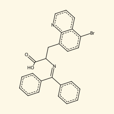 O=C(O)C(Cc1ccc(Br)c2cccnc12)N=C(c1ccccc1)c1ccccc1